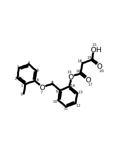 Cc1ccccc1OCc1ccccc1OC(=O)CC(=O)O